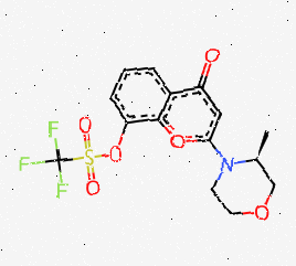 C[C@H]1COCCN1c1cc(=O)c2cccc(OS(=O)(=O)C(F)(F)F)c2o1